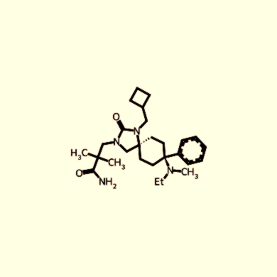 CCN(C)[C@]1(c2ccccc2)CC[C@]2(CC1)CN(CC(C)(C)C(N)=O)C(=O)N2CC1CCC1